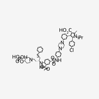 Cc1c(C(=O)O)c(-c2cccc(N3CCN(c4ccc(NS(=O)(=O)c5ccc(N[C@H](CCN6CCC(OP(=O)(O)O)CC6)CSc6ccccc6)c(S(C)(=O)=O)c5)cc4)CC3)c2)c(-c2ccc(Cl)cc2)n1C(C)C